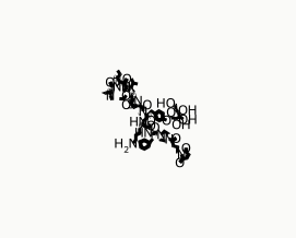 CC[C@H](C)[C@H](NC(=O)[C@H]1CN1C)C(=O)N(C)[C@H](C[C@@H](OC(C)=O)c1nc(C(=O)N(C)[C@@H](Cc2ccc(OC3OC(CO)C(O)C(O)C3O)cc2)C(=O)N[C@H](CCCCN)C(=O)N[C@@H](Cc2ccccc2)C(=O)N2CCN(C(=O)CCCN3C(=O)C=CC3=O)CC2)cs1)C(C)C